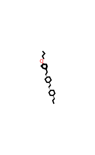 CCCCOc1ccc(CC[C@H]2CC[C@H](CC[C@H]3CC[C@H](CCC)CC3)CC2)cc1